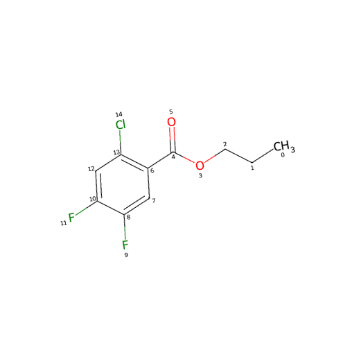 CCCOC(=O)c1cc(F)c(F)cc1Cl